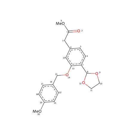 COC(=O)Cc1ccc(C2OCCO2)c(OCc2ccc(OC)cc2)c1